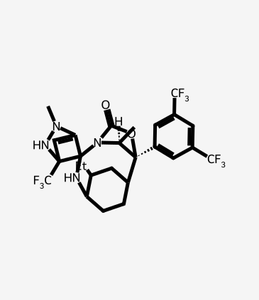 CCC1CC2CCC1NC1(C3=CC1(C(F)(F)F)NN3C)N1C(=O)O[C@]2(c2cc(C(F)(F)F)cc(C(F)(F)F)c2)[C@@H]1C